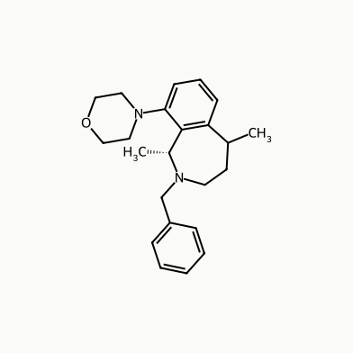 CC1CCN(Cc2ccccc2)[C@H](C)c2c1cccc2N1CCOCC1